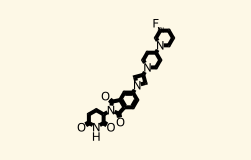 O=C1CCC(N2C(=O)c3ccc(N4CC(N5CCC(N6CCC[C@@H](F)C6)CC5)C4)cc3C2=O)C(=O)N1